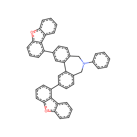 c1ccc(N2Cc3ccc(-c4cccc5oc6ccccc6c45)cc3-c3cc(-c4cccc5oc6ccccc6c45)ccc3C2)cc1